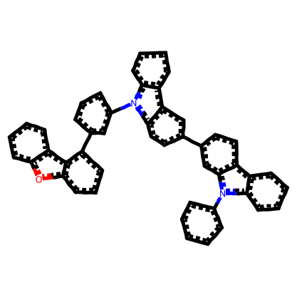 c1ccc(-n2c3ccccc3c3ccc(-c4ccc5c(c4)c4ccccc4n5-c4cccc(-c5cccc6oc7ccccc7c56)c4)cc32)cc1